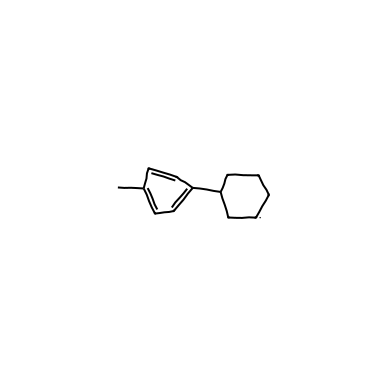 Cc1ccc(C2C[CH]CCC2)cc1